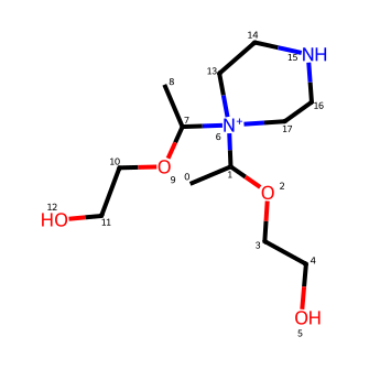 CC(OCCO)[N+]1(C(C)OCCO)CCNCC1